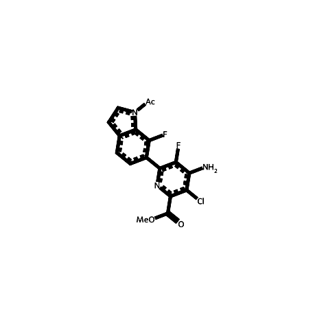 COC(=O)c1nc(-c2ccc3ccn(C(C)=O)c3c2F)c(F)c(N)c1Cl